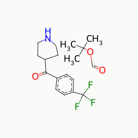 CC(C)(C)OC=O.O=C(c1ccc(C(F)(F)F)cc1)C1CCNCC1